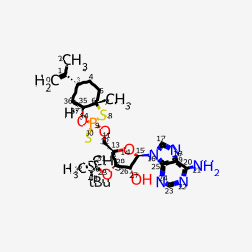 C=C(C)[C@@H]1CC[C@]2(C)SP(=S)(OC[C@H]3O[C@@H](n4cnc5c(N)ncnc54)[C@H](O)[C@@H]3O[Si](C)(C)C(C)(C)C)O[C@H]2C1